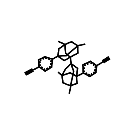 C#Cc1ccc(C23CC4(C)CC(C)(C2)CC(C25CC6(C)CC(C)(CC(c7ccc(C#C)cc7)(C6)C2)C5)(C4)C3)cc1